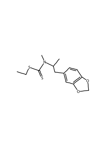 CCSC(=S)N(C)C(C)Cc1ccc2c(c1)OCO2